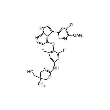 COc1ncc(-c2c[nH]c3nccc(Oc4c(F)cc(NC5=NCC(C)(CO)CO5)cc4F)c23)cc1Cl